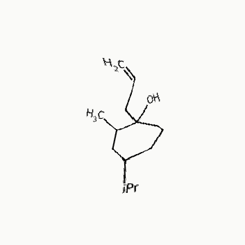 C=CCC1(O)CCC(C(C)C)CC1C